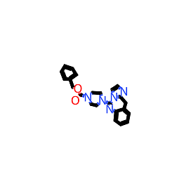 O=C(OCc1ccccc1)N1CCN(C2=Nc3ccccc3Cc3nccn32)CC1